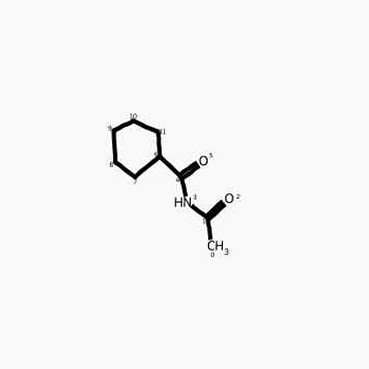 CC(=O)NC(=O)C1CCCCC1